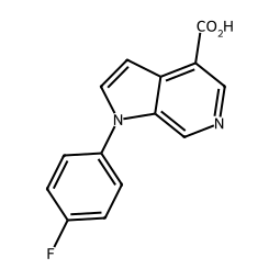 O=C(O)c1cncc2c1ccn2-c1ccc(F)cc1